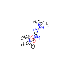 COCCn1c(C)cc(-c2ccccc2)c1C(=O)C(=O)Nc1ccc(NCCNc2cc(C)cc(C)n2)cc1